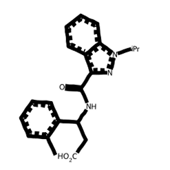 Cc1ccccc1C(CC(=O)O)NC(=O)c1nn(C(C)C)c2ccccc12